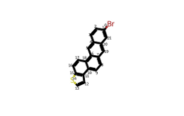 Brc1ccc2cc3c(ccc4c5ccsc5ccc34)cc2c1